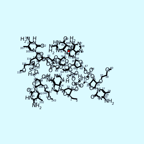 CC[C@H]1O[C@@H](n2cnc3c(N)ncnc32)C[C@H]1OP(=O)(S)OC[C@H]1O[C@@H](n2cc(C)c(N)nc2=O)C(OCCOC)[C@H]1OP(=O)(O)OC[C@H]1O[C@@H](n2cnc3c(N)ncnc32)C(OCCOC)[C@H]1OP(=O)(S)OC[C@H]1O[C@@H](n2cnc3c(=O)[nH]c(N)nc32)C(OCCOC)[C@H]1OP(=O)(O)OC[C@H]1O[C@@H](N2C=C(C)C(N)NC2=O)C(CCCOC)[C@H]1OP(=O)(S)OC[C@H]1O[C@@H](N2C=C(C)C(N)NC2=O)C(OCCOC)[C@H]1O